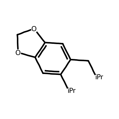 CC(C)Cc1cc2c(cc1C(C)C)OCO2